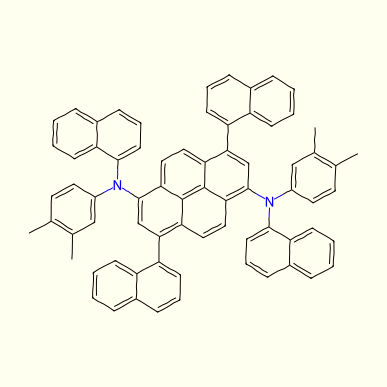 Cc1ccc(N(c2cccc3ccccc23)c2cc(-c3cccc4ccccc34)c3ccc4c(N(c5ccc(C)c(C)c5)c5cccc6ccccc56)cc(-c5cccc6ccccc56)c5ccc2c3c54)cc1C